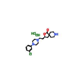 Cl.Cl.O=C1O[C@H](CCN2CCN(c3cccc(Cl)c3)CC2)CC12CCNCC2